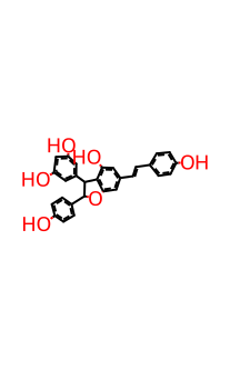 Oc1ccc(/C=C/c2cc(O)c3c(c2)OC(c2ccc(O)cc2)C3c2cc(O)cc(O)c2)cc1